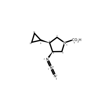 [N-]=[N+]=N[C@@H]1CN(C(=O)O)C[C@@H]1C1CC1